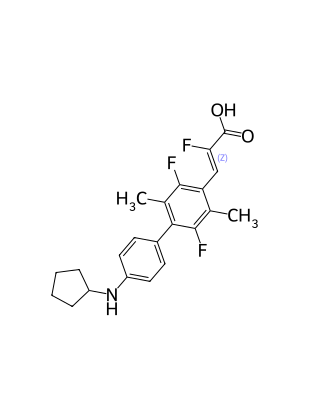 Cc1c(F)c(-c2ccc(NC3CCCC3)cc2)c(C)c(F)c1/C=C(\F)C(=O)O